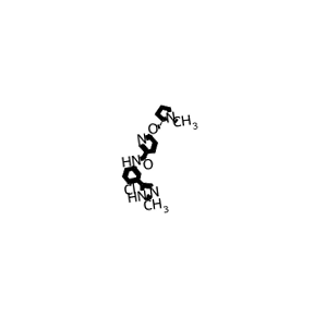 Cc1ncc(-c2cc(NC(=O)c3ccc(OC[C@@H]4CCCN4C)nc3)ccc2Cl)[nH]1